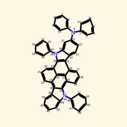 c1ccc(N(c2ccccc2)c2ccc3c4c5cccc6c5c5c(cccc5c4n(-c4ccccc4)c3c2)c2c3ccccc3n(-c3ccccc3)c62)cc1